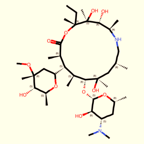 CC[C@@]1(C)OC(=O)[C@H](C)[C@@H](C2C[C@@](C)(OC)[C@@H](O)[C@H](C)O2)[C@H](C)[C@@H](O[C@@H]2O[C@H](C)C[C@H](N(C)C)[C@H]2O)[C@](C)(O)C[C@@H](C)CN[C@H](C)[C@@H](O)[C@]1(C)O